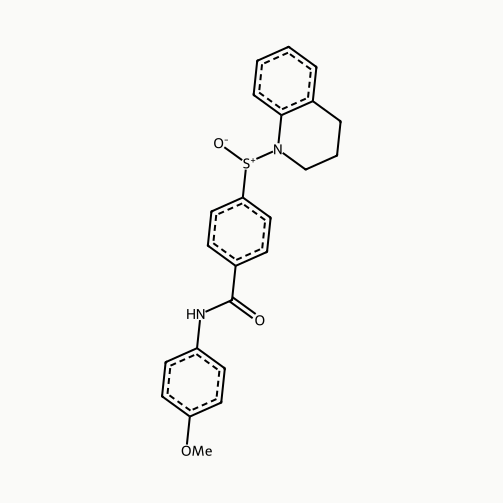 COc1ccc(NC(=O)c2ccc([S+]([O-])N3CCCc4ccccc43)cc2)cc1